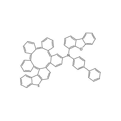 c1ccc(-c2ccc(N(c3ccc4c(c3)c3ccccc3c3ccccc3c3ccccc3c3c4ccc4sc5ccccc5c43)c3cccc4c3oc3ccccc34)cc2)cc1